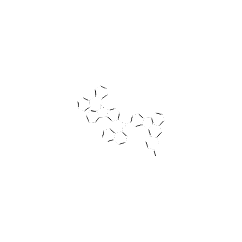 C=C/C=C\c1c(C)cc2cccc3c2c1-c1cc(N(c2ccc4c(c2)c2ccccc2n4-c2ccccc2-c2ccccc2)c2cccc4ccccc24)ccc1-3